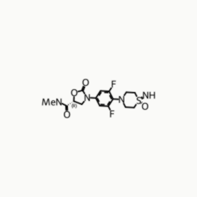 CNC(=O)[C@H]1CN(c2cc(F)c(N3CCS(=N)(=O)CC3)c(F)c2)C(=O)O1